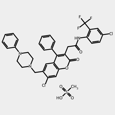 CS(=O)(=O)O.O=C(Cc1c(-c2ccccc2)c2cc(CN3CCN(c4ccccc4)CC3)c(Cl)cc2oc1=O)Nc1ccc(Cl)cc1C(F)(F)F